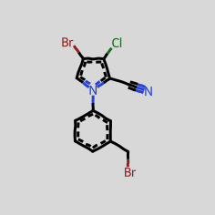 N#Cc1c(Cl)c(Br)cn1-c1cccc(CBr)c1